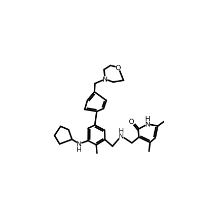 Cc1cc(C)c(CNCc2cc(-c3ccc(CN4CCOCC4)cc3)cc(NC3CCCC3)c2C)c(=O)[nH]1